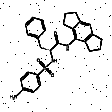 Nc1ccc(S(=O)(=O)N[C@H](Cc2ccccc2)C(=O)Nc2c3c(cc4c2CCC4)CCC3)cc1